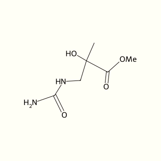 COC(=O)C(C)(O)CNC(N)=O